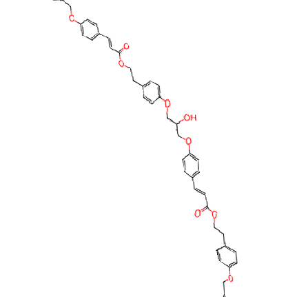 O=C(/C=C/c1ccc(OCC2CO2)cc1)OCCc1ccc(OCC(O)COc2ccc(/C=C/C(=O)OCCc3ccc(OCC4CO4)cc3)cc2)cc1